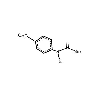 CCCCNN(CC)c1ccc(C=O)cc1